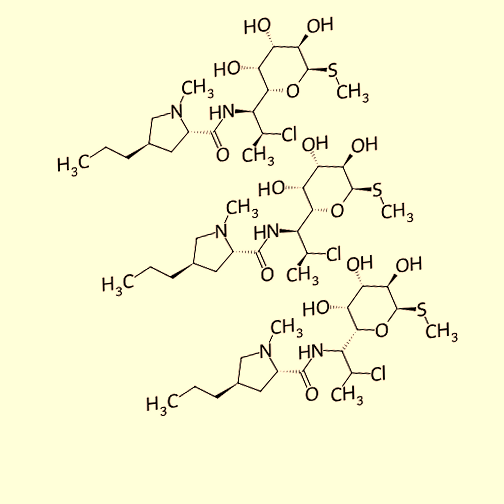 CCC[C@@H]1C[C@@H](C(=O)NC(C(C)Cl)[C@H]2O[C@H](SC)[C@H](O)[C@@H](O)[C@H]2O)N(C)C1.CCC[C@@H]1C[C@@H](C(=O)N[C@@H]([C@H]2O[C@H](SC)[C@H](O)[C@@H](O)[C@H]2O)[C@H](C)Cl)N(C)C1.CCC[C@@H]1C[C@@H](C(=O)N[C@@H]([C@H]2O[C@H](SC)[C@H](O)[C@@H](O)[C@H]2O)[C@H](C)Cl)N(C)C1